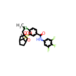 C=CC[C@]1(O)CC2CCC(C1)[C@@H]2S(=O)(=O)c1cc(C(=O)Nc2cc(F)c(F)c(F)c2)ccc1Cl